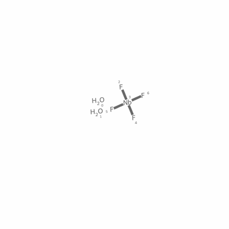 O.O.[F][Nb]([F])([F])[F]